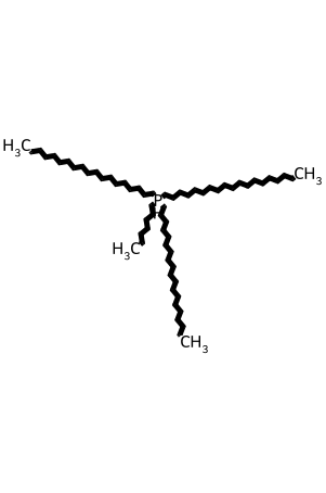 CCCCCCCCCCCCCCCCCCC[PH](CCCCCCC)(CCCCCCCCCCCCCCCCCCC)CCCCCCCCCCCCCCCCCCC